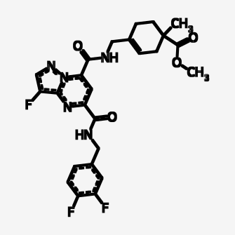 COC(=O)C1(C)CC=C(CNC(=O)c2cc(C(=O)NCc3ccc(F)c(F)c3)nc3c(F)cnn23)CC1